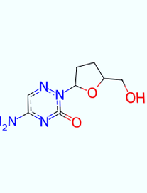 Nc1cnn(C2CCC(CO)O2)c(=O)n1